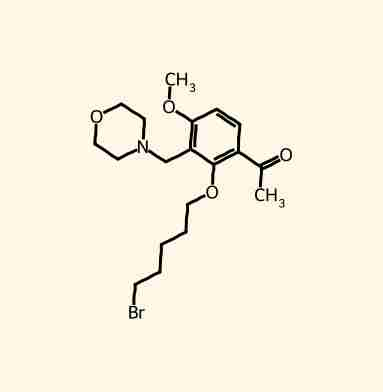 COc1ccc(C(C)=O)c(OCCCCCBr)c1CN1CCOCC1